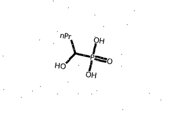 [CH2]CCC(O)P(=O)(O)O